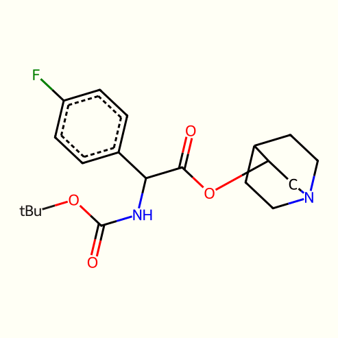 CC(C)(C)OC(=O)NC(C(=O)OC1CN2CCC1CC2)c1ccc(F)cc1